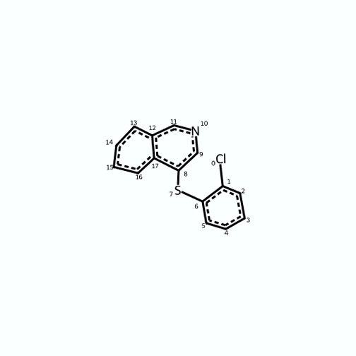 Clc1ccccc1Sc1cncc2ccccc12